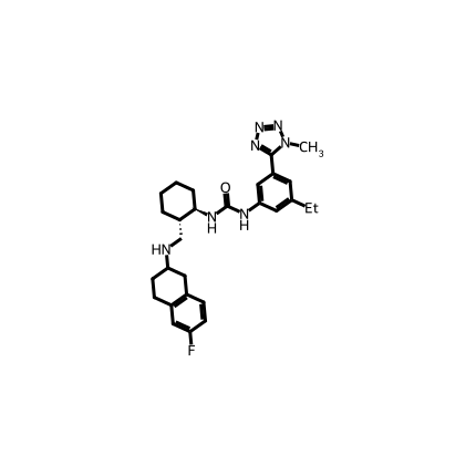 CCc1cc(NC(=O)N[C@@H]2CCCC[C@H]2CNC2CCc3cc(F)ccc3C2)cc(-c2nnnn2C)c1